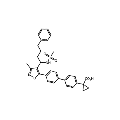 Cc1noc(-c2ccc(-c3ccc(C4(C(=O)O)CC4)cc3)cc2)c1C(CCCc1ccccc1)NS(C)(=O)=O